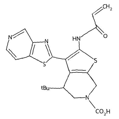 C=CC(=O)Nc1sc2c(c1-c1nc3cnccc3s1)C(C(C)(C)C)CN(C(=O)O)C2